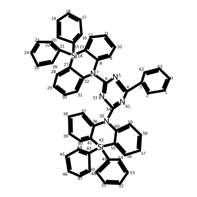 c1ccc(-c2nc(N3c4ccccc4[Si](c4ccccc4)(c4ccccc4)c4ccccc43)nc(N3c4ccccc4[Si](c4ccccc4)(c4ccccc4)c4ccccc43)n2)cc1